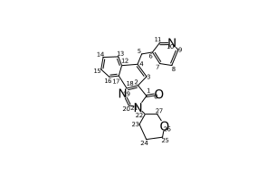 O=c1c2cc(Cc3cccnc3)c3ccccc3c2ncn1C1CCCOC1